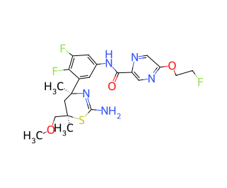 COC[C@@]1(C)C[C@@](C)(c2cc(NC(=O)c3cnc(OCCF)cn3)cc(F)c2F)N=C(N)S1